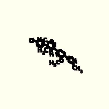 COc1nc(C2=NO[C@H](C)[C@](C)(c3ccc(Cl)cc3)N2)ccc1-n1cnc(C)c1